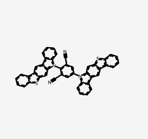 N#Cc1cc(-n2c3ccccc3c3cc4c(cc32)sc2ccccc24)cc(C#N)c1-n1c2ccccc2c2cc3c(cc21)sc1ccccc13